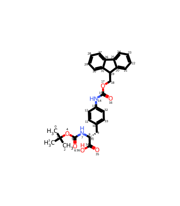 CC(C)(C)OC(=O)N[C@H](Cc1ccc(NC(=O)OCC2c3ccccc3-c3ccccc32)cc1)C(=O)O